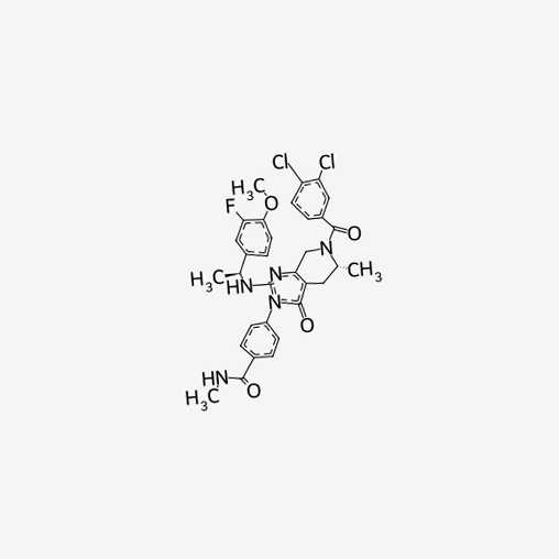 CNC(=O)c1ccc(-n2c(N[C@@H](C)c3ccc(OC)c(F)c3)nc3c(c2=O)C[C@@H](C)N(C(=O)c2ccc(Cl)c(Cl)c2)C3)cc1